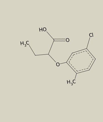 CCC(Oc1cc(Cl)ccc1C)C(=O)O